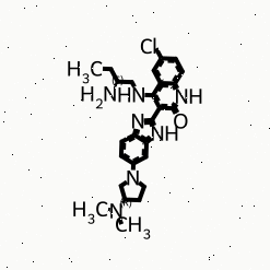 CC[C@H](N)CNc1c(-c2nc3ccc(N4CC[C@@H](N(C)C)C4)cc3[nH]2)c(=O)[nH]c2ccc(Cl)cc12